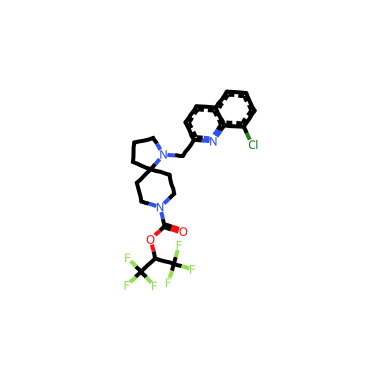 O=C(OC(C(F)(F)F)C(F)(F)F)N1CCC2(CCCN2Cc2ccc3cccc(Cl)c3n2)CC1